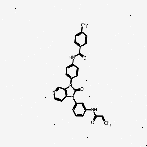 C=CC(=O)Nc1cccc(-n2c(=O)n(-c3ccc(NC(=O)c4ccc(C(F)(F)F)cc4)cc3)c3cnccc32)c1